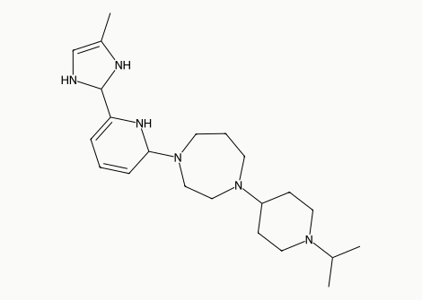 CC1=CNC(C2=CC=CC(N3CCCN(C4CCN(C(C)C)CC4)CC3)N2)N1